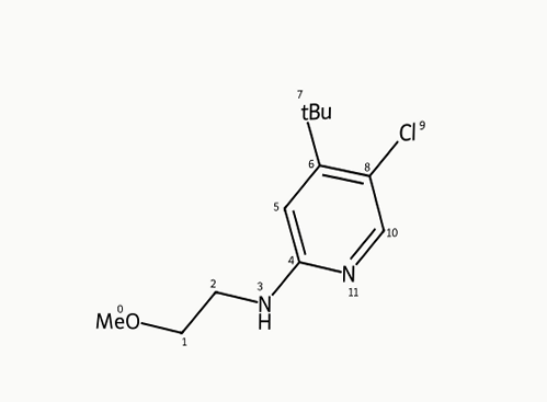 COCCNc1cc(C(C)(C)C)c(Cl)cn1